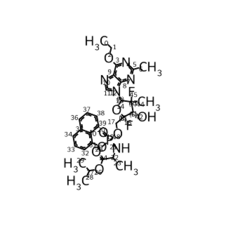 CCOc1nc(C)nc2c1ncn2[C@@H]1O[C@](F)(COP(=O)(NC(C)C(=O)OC(C)C)Oc2cccc3ccccc23)[C@@H](O)[C@@]1(C)F